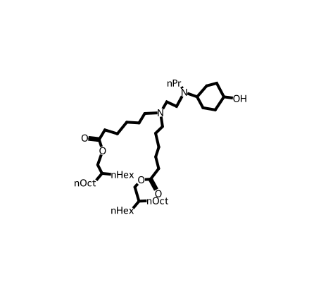 CCCCCCCCC(CCCCCC)COC(=O)CCCCCN(CCCCCC(=O)OCC(CCCCCC)CCCCCCCC)CCN(CCC)C1CCC(O)CC1